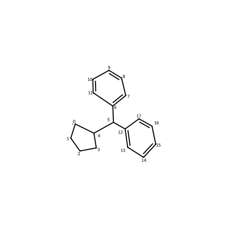 [CH]1CCCC1C(c1ccccc1)c1ccccc1